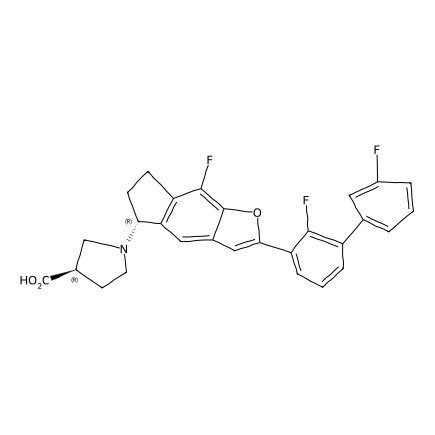 O=C(O)[C@@H]1CCN([C@@H]2CCc3c2cc2cc(-c4cccc(-c5cccc(F)c5)c4F)oc2c3F)C1